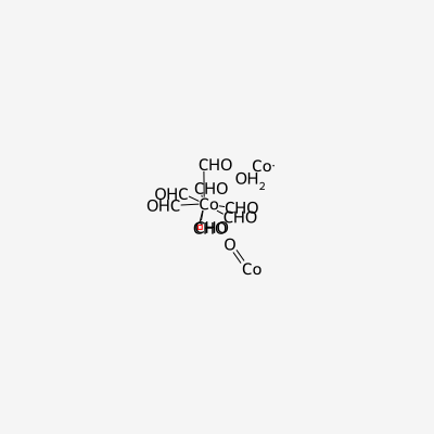 O.O=[CH][Co]([CH]=O)([CH]=O)([CH]=O)([CH]=O)([CH]=O)([CH]=O)[CH]=O.[Co].[O]=[Co]